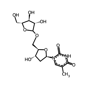 Cc1cn([C@H]2C[C@H](O)[C@@H](COC3O[C@H](CO)[C@@H](O)[C@@H]3O)O2)c(=O)[nH]c1=O